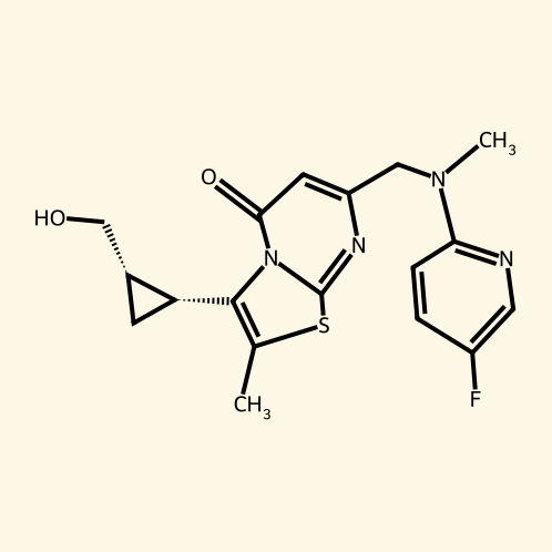 Cc1sc2nc(CN(C)c3ccc(F)cn3)cc(=O)n2c1[C@@H]1C[C@@H]1CO